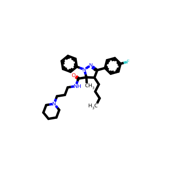 CCCCC1C(c2ccc(F)cc2)=NN(c2ccccc2)C1(C)C(=O)NCCCN1CCCCC1